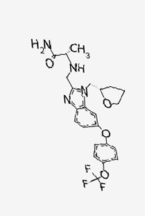 C[C@H](NCc1nc2ccc(Oc3ccc(OC(F)(F)F)cc3)cc2n1C[C@@H]1CCCO1)C(N)=O